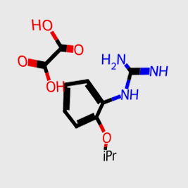 CC(C)Oc1ccccc1NC(=N)N.O=C(O)C(=O)O